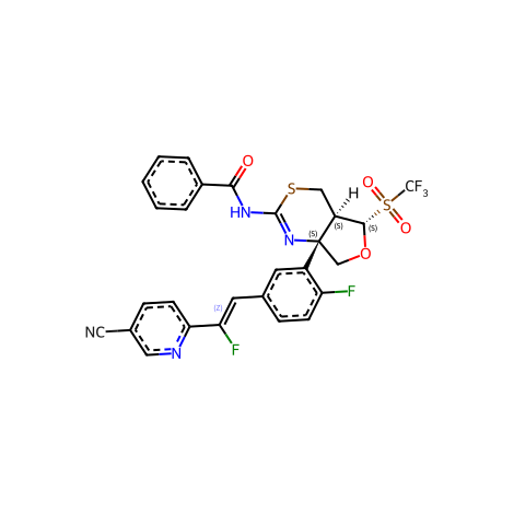 N#Cc1ccc(/C(F)=C/c2ccc(F)c([C@]34CO[C@@H](S(=O)(=O)C(F)(F)F)[C@@H]3CSC(NC(=O)c3ccccc3)=N4)c2)nc1